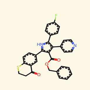 O=C1CCSc2ccc(-c3[nH]c(-c4ccc(F)cc4)c(-c4ccncc4)c3C(=O)OCc3ccccc3)cc21